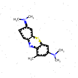 Cc1cc(N(C)C)cc2sc3cc(=[N+](C)C)ccc-3nc12